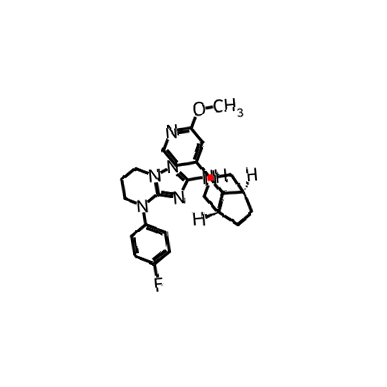 COc1cc(N2C[C@H]3CC[C@H](C2)C3Nc2nc3n(n2)CCCN3c2ccc(F)cc2)ccn1